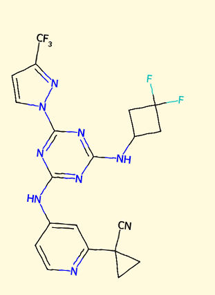 N#CC1(c2cc(Nc3nc(NC4CC(F)(F)C4)nc(-n4ccc(C(F)(F)F)n4)n3)ccn2)CC1